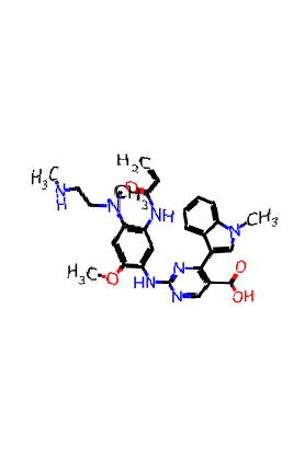 C=CC(=O)Nc1cc(Nc2ncc(C(=O)O)c(-c3cn(C)c4ccccc34)n2)c(OC)cc1N(C)CCNC